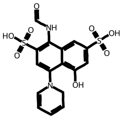 O=CNc1c(S(=O)(=O)O)cc(N2C=CC=CC2)c2c(O)cc(S(=O)(=O)O)cc12